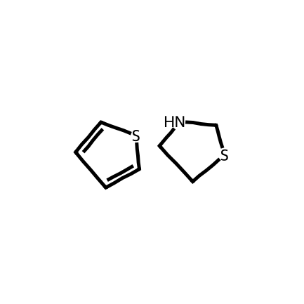 C1CSCN1.c1ccsc1